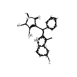 Cc1c(C(C2=C(O)C(C(C)C)N(C)C2=O)c2ccccc2)[nH]c2ccc(F)cc12